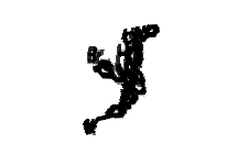 Cc1cc(CC(NC(=O)N2CCC(N3Cc4ccccc4NC3=O)CC2)C(=O)N2CCN(c3ccc(CCCN(C)C)cc3)CC2)ccc1Br